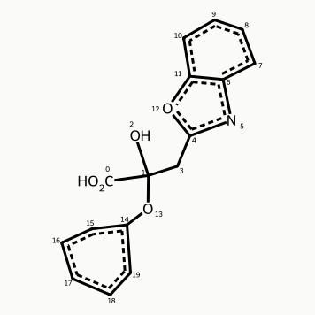 O=C(O)C(O)(Cc1nc2ccccc2o1)Oc1ccccc1